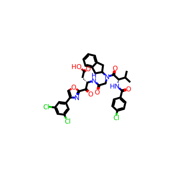 CC(C)[C@H](NC(=O)c1ccc(Cl)cc1)C(=O)N(CC(=O)N[C@@H](CC(=O)O)C(=O)c1nc(-c2cc(Cl)cc(Cl)c2)co1)C1Cc2ccccc2C1